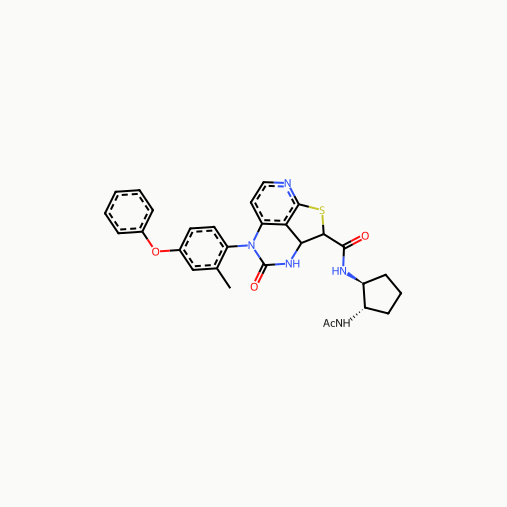 CC(=O)N[C@H]1CCC[C@@H]1NC(=O)C1Sc2nccc3c2C1NC(=O)N3c1ccc(Oc2ccccc2)cc1C